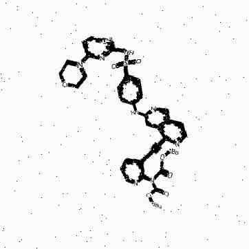 CC(C)(C)OC(=O)N(C(=O)OC(C)(C)C)c1ncccc1C#Cc1nccc2cnc(Nc3ccc(S(=O)(=O)Nc4nccc(N5CCOCC5)n4)cc3)cc12